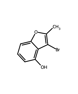 Cc1oc2cccc(O)c2c1Br